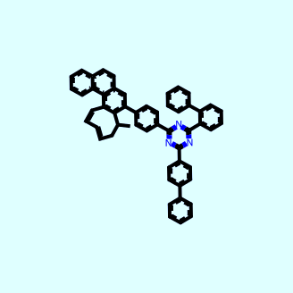 CC1C/C=C/C=C\c2c1c(-c1ccc(-c3nc(-c4ccc(-c5ccccc5)cc4)nc(-c4ccccc4-c4ccccc4)n3)cc1)cc1ccc3ccccc3c21